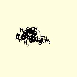 C=C(C)C(=O)OCCC[Si](C)(C)O[Si](C)(C)CC[Si](C)(C)O[Si](C)(C)O[Si](C)(C)O[Si](C)(C)O[Si](C)(C)C